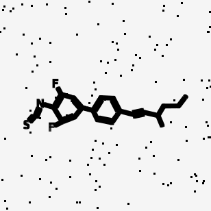 CCCC(C)C#Cc1ccc(-c2cc(F)c(N=C=S)c(F)c2)cc1